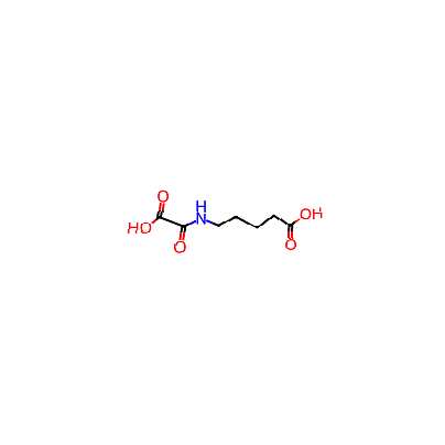 O=C(O)CCCCNC(=O)C(=O)O